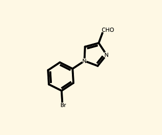 O=Cc1cn(-c2cccc(Br)c2)cn1